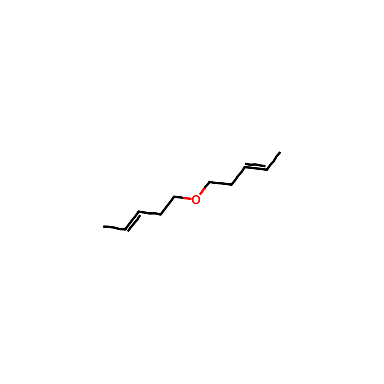 C/C=C/CCOCC/C=C/C